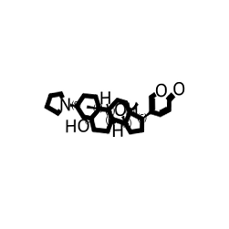 C[C@]12CC[C@H](N3CCCC3)C[C@@]1(O)CC[C@@H]1[C@@H]2CC[C@]2(C)[C@@H](c3ccc(=O)oc3)CC[C@]12O